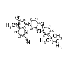 CCC(C)(C)c1ccc(O[C@@H]2CCN(c3cc(=O)n(C)c4ccc(C#N)nc34)C[C@H]2C)cc1